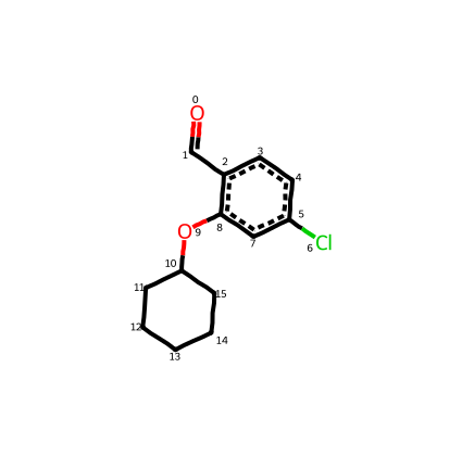 O=Cc1ccc(Cl)cc1OC1CCCCC1